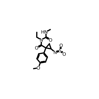 CCN(C(=O)NC)C(=O)C1(c2ccc(OC)cc2)CC1N=S(=O)=O